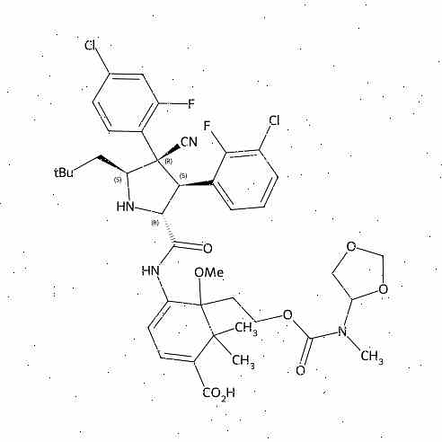 COC1(CCOC(=O)N(C)C2COCO2)C(NC(=O)[C@@H]2N[C@@H](CC(C)(C)C)[C@](C#N)(c3ccc(Cl)cc3F)[C@H]2c2cccc(Cl)c2F)=CC=C(C(=O)O)C1(C)C